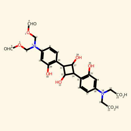 O=COCN(COC=O)c1ccc(C2C(O)C(c3ccc(N(CC(=O)O)CC(=O)O)cc3O)C2O)c(O)c1